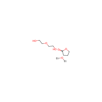 CCOCC.O=C1CCCO1.OCCOCCO